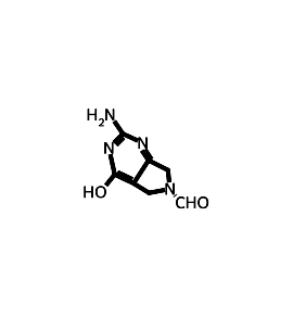 Nc1nc(O)c2c(n1)CN(C=O)C2